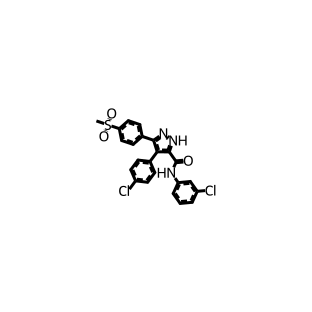 CS(=O)(=O)c1ccc(-c2n[nH]c(C(=O)Nc3cccc(Cl)c3)c2-c2ccc(Cl)cc2)cc1